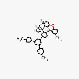 Cc1ccc(-c2cc(-c3ccc(C)cc3)cc(-c3ccc4c(c3)C(C)(C)c3c(C)ccc5c3B4c3cc(C)ccc3O5)c2)cc1